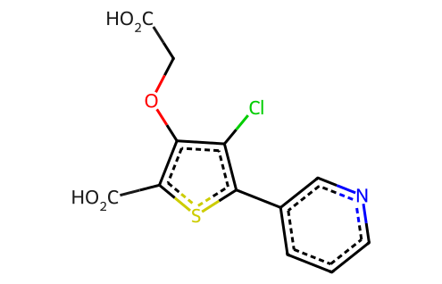 O=C(O)COc1c(C(=O)O)sc(-c2cccnc2)c1Cl